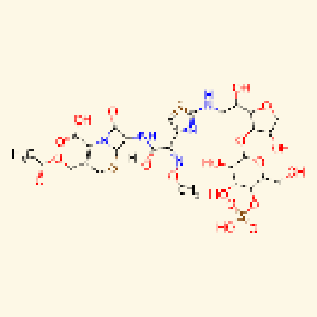 CO/N=C(\C(=O)N[C@@H]1C(=O)N2C(C(=O)O)=C(COC(C)=O)CS[C@H]12)c1csc(NCC(O)C2OCC(O)C2OC2OC(CO)C(OS(=O)(=O)O)C(O)C2O)n1